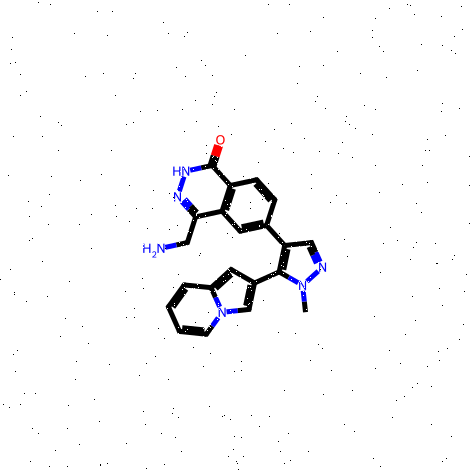 Cn1ncc(-c2ccc3c(=O)[nH]nc(CN)c3c2)c1-c1cc2ccccn2c1